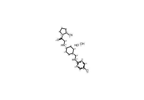 Cl.Cl.N#C[C@@H]1CCCN1C(=O)CN[C@H]1CC[C@H](CNc2ncc(Cl)cn2)CC1